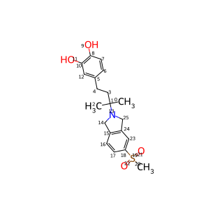 CC(C)(CCc1ccc(O)c(O)c1)N1Cc2ccc(S(C)(=O)=O)cc2C1